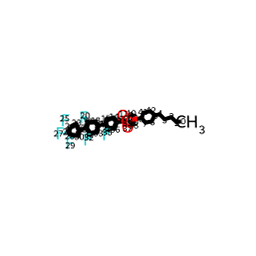 CCCCCC1CCC(C23COC(c4ccc(-c5cc(F)c(-c6cc(F)c(F)c(F)c6)c(F)c5)c(F)c4)(OC2)OC3)CC1